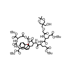 CC(C)(C)OC(=O)CCC(NC(=O)COCC1(CO)COC(C)(C)OC1)C(=O)NC(CCC(=O)OC(C)(C)C)C(=O)NC(Cc1ccc2ccccc2c1)C(=O)N1CCCCC(C(=O)OC(C)(C)C)NC(=O)NC(C(=O)OC(C)(C)C)CC(=O)OC1(C)C